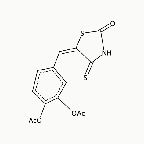 CC(=O)Oc1ccc(C=C2SC(=O)NC2=S)cc1OC(C)=O